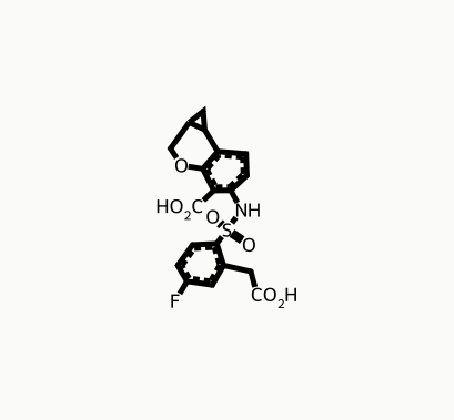 O=C(O)Cc1cc(F)ccc1S(=O)(=O)Nc1ccc2c(c1C(=O)O)OCC1CC21